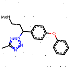 CNCCC(c1ccc(Oc2ccccc2)cc1)n1nnc(C)n1